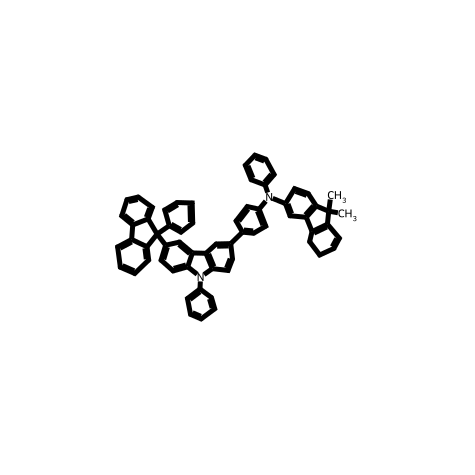 CC1(C)C2=C(CCC=C2)c2cc(N(c3ccccc3)c3ccc(-c4ccc5c(c4)c4cc(C6(c7ccccc7)c7ccccc7-c7ccccc76)ccc4n5-c4ccccc4)cc3)ccc21